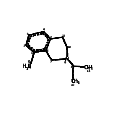 Bc1cccc2c1CN(C(C)O)CC2